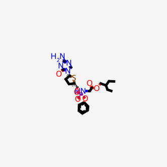 CCC(CC)COC(=O)CNP(=O)(OC[C@@H]1CC[C@H](n2cnc(N)nc2=O)S1)Oc1ccccc1